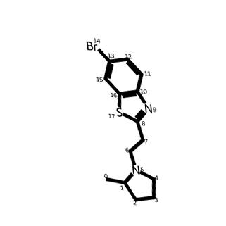 CC1CCCN1CCc1nc2ccc(Br)cc2s1